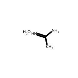 CC(=N)N.O